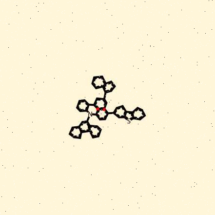 c1cc(-c2ccccc2N(c2ccc(-c3ccc4c(c3)sc3ccccc34)cc2)c2cc3ccccc3c3ccccc23)cc(-c2cccc3ccccc23)c1